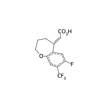 O=C(O)C=C1CCCOc2cc(C(F)(F)F)c(F)cc21